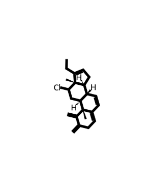 C=C1CC=C2C=C[C@@H]3[C@H](CC(Cl)[C@]4(C)C(CC)=CC[C@@H]34)[C@@]2(C)C1=C